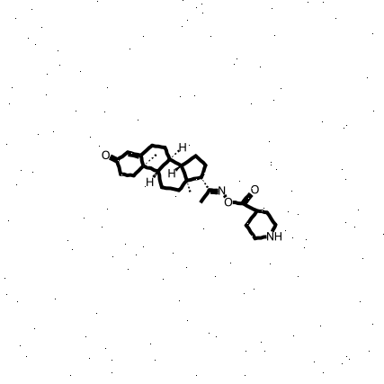 C/C(=N\OC(=O)C1CCNCC1)[C@H]1CC[C@H]2[C@@H]3CCC4=CC(=O)CC[C@]4(C)[C@H]3CC[C@]12C